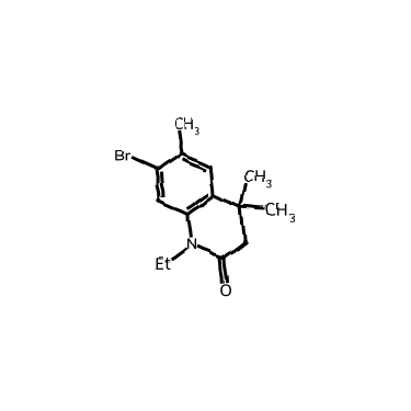 CCN1C(=O)CC(C)(C)c2cc(C)c(Br)cc21